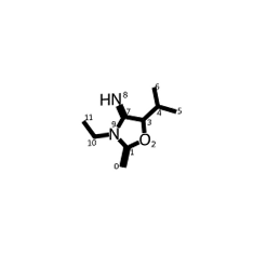 C=C1OC(C(C)C)C(=N)N1CC